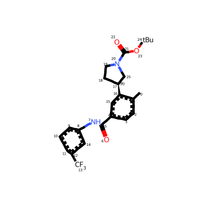 Cc1ccc(C(=O)Nc2cccc(C(F)(F)F)c2)cc1[C@H]1CCN(C(=O)OC(C)(C)C)C1